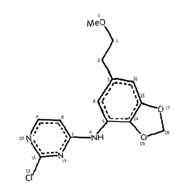 COCCc1cc(Nc2ccnc(Cl)n2)c2c(c1)OCO2